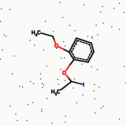 CCOc1ccccc1OC(C)I